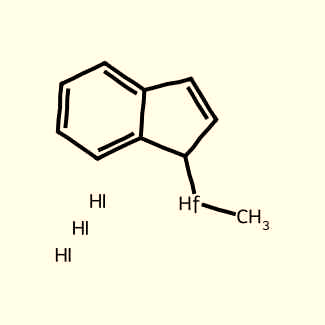 I.I.I.[CH3][Hf][CH]1C=Cc2ccccc21